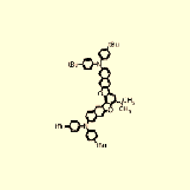 CN(C)c1cc2c3cc4ccc(N(c5ccc(C(C)(C)C)cc5)c5ccc(C(C)(C)C)cc5)cc4cc3oc2c2c1oc1cc3cc(N(c4ccc(C(C)(C)C)cc4)c4ccc(C(C)(C)C)cc4)ccc3cc12